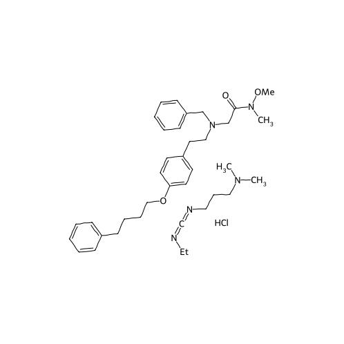 CCN=C=NCCCN(C)C.CON(C)C(=O)CN(CCc1ccc(OCCCCc2ccccc2)cc1)Cc1ccccc1.Cl